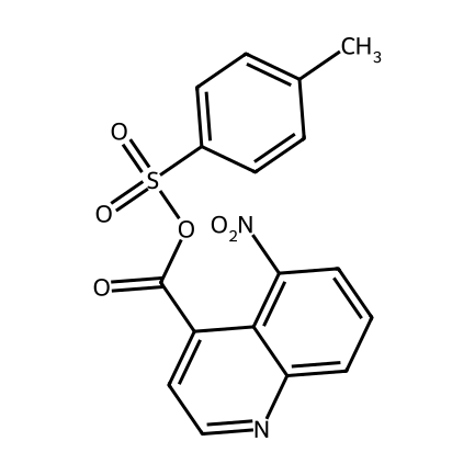 Cc1ccc(S(=O)(=O)OC(=O)c2ccnc3cccc([N+](=O)[O-])c23)cc1